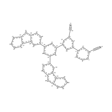 N#Cc1cccc(-c2cc(C#N)cc(-c3cc(-c4ccc5oc6ccccc6c5c4)cc(-c4ccc5oc6ccccc6c5c4)c3)c2)c1